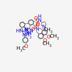 COc1ccc(CN(Cc2ccc(OC)cc2)S(=O)(=O)c2c(S(=O)(=O)N[C@@H]3CCN(C)C3)ccc(-c3cccc4[nH]c(N)nc34)c2-c2nnn(Cc3ccc(OC)cc3)n2)cc1